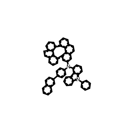 c1ccc(-n2c3ccccc3c3c(N(c4ccc(-c5ccc6ccccc6c5)cc4)c4cc5ccc6cccc7c8cccc9ccc%10cccc(c(c4)c5c67)c%10c98)cccc32)cc1